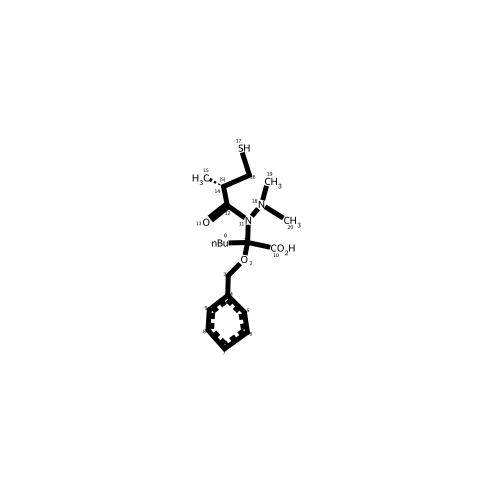 CCCCC(OCc1ccccc1)(C(=O)O)N(C(=O)[C@H](C)CS)N(C)C